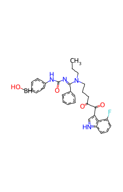 CCCN(CCCC(=O)C(=O)c1c[nH]c2cccc(F)c12)/C(=N/C(=O)Nc1ccc(BO)cc1)c1ccccc1